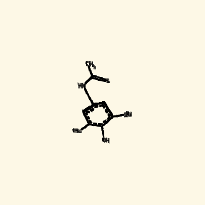 CC(=S)Nc1cc(C(C)(C)C)c(O)c(C(C)(C)C)c1